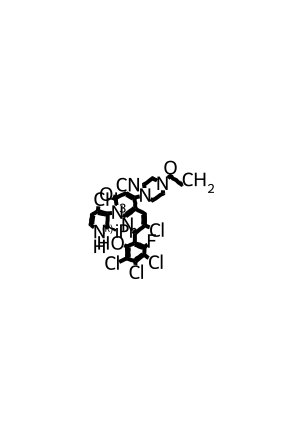 C=CC(=O)N1CCN(c2c(C#N)c(=O)n(C3=C(C)C=CN[C@@H]3C(C)C)c3nc(-c4c(O)c(Cl)c(Cl)c(Cl)c4F)c(Cl)cc23)CC1